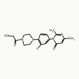 Cc1cc(=O)n(-c2ccc(N3CCN(C(=O)CO)CC3)c(F)c2)c(C)n1